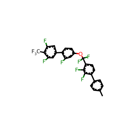 Cc1ccc(-c2ccc(C(F)(F)Oc3ccc(-c4cc(F)c(C(F)(F)F)c(F)c4)c(F)c3)c(F)c2F)cc1